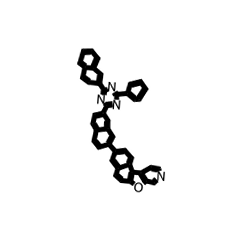 c1ccc(-c2nc(-c3ccc4ccccc4c3)nc(-c3ccc4ccc(-c5ccc6c(ccc7oc8cnccc8c76)c5)cc4c3)n2)cc1